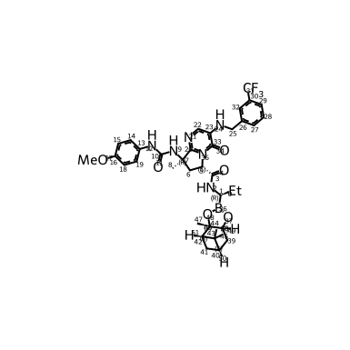 CC[C@H](NC(=O)[C@@H]1C[C@@](C)(NC(=O)Nc2ccc(OC)cc2)c2ncc(NCc3cccc(C(F)(F)F)c3)c(=O)n21)B1O[C@@H]2C[C@@H]3C[C@@H](C3(C)C)[C@]2(C)O1